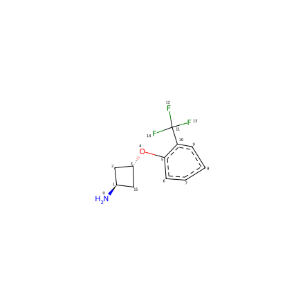 N[C@H]1C[C@H](Oc2ccccc2C(F)(F)F)C1